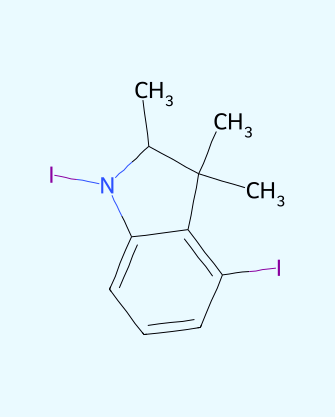 CC1N(I)c2cccc(I)c2C1(C)C